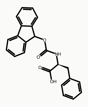 O=C(N[C@@H](Cc1ccccc1)C(=O)O)OC1c2ccccc2-c2ccccc21